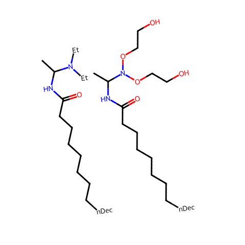 CCCCCCCCCCCCCCCCCC(=O)NC(C)N(CC)CC.CCCCCCCCCCCCCCCCCC(=O)NC(C)N(OCCO)OCCO